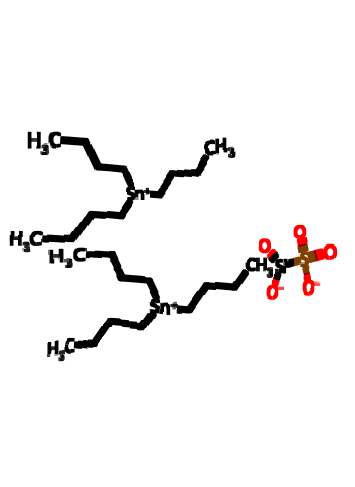 CCC[CH2][Sn+]([CH2]CCC)[CH2]CCC.CCC[CH2][Sn+]([CH2]CCC)[CH2]CCC.O=[Si]([O-])S(=O)(=O)[O-]